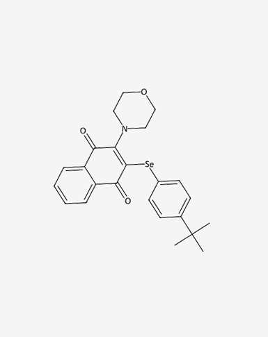 CC(C)(C)c1ccc([Se]C2=C(N3CCOCC3)C(=O)c3ccccc3C2=O)cc1